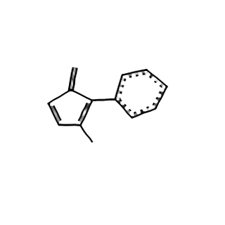 C=C1C=CC(C)=C1c1ccccc1